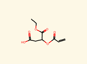 C=CC(=O)OC(CC(=O)O)C(=O)OCC